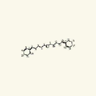 C1=CC(=CCCCCOCCCCC=C2C=CCCC2)CCC1